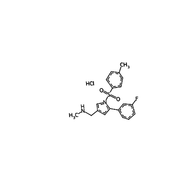 CNCc1cc(-c2cccc(F)c2)n(S(=O)(=O)c2ccc(C)cc2)c1.Cl